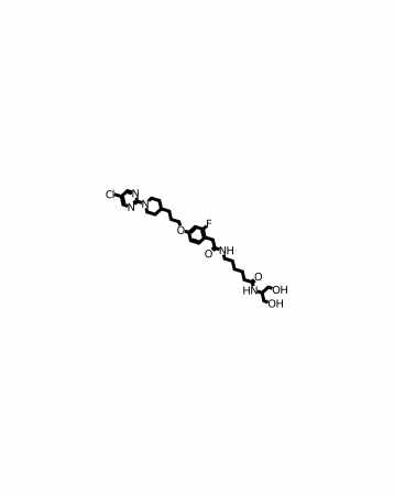 O=C(Cc1ccc(OCCCC2CCN(c3ncc(Cl)cn3)CC2)cc1F)NCCCCCC(=O)NC(CO)CO